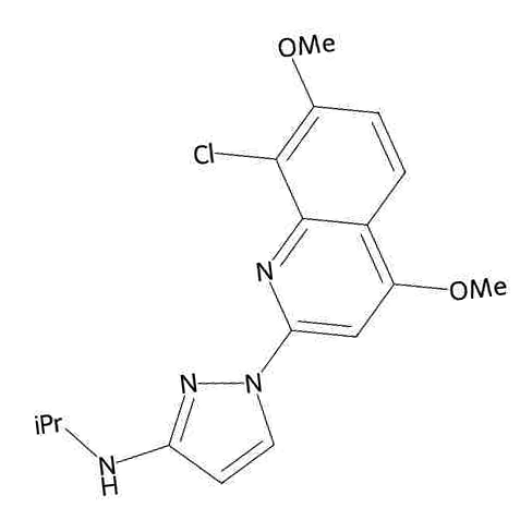 COc1ccc2c(OC)cc(-n3ccc(NC(C)C)n3)nc2c1Cl